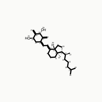 C=C1/C(=C\C=C2/CCC[C@]3(C)[C@@H]([C@@H](C)CCCC(C)C)CC[C@@H]23)C[C@@H](O)C(=C)[C@@H]1O